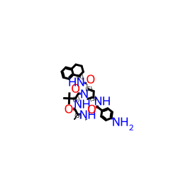 CN[C@@H](C)C(=O)N[C@H](C(=O)N1C[C@@H](NC(=O)c2ccc(N)cc2)C[C@H]1C(=O)N[C@@H]1CCCc2ccccc21)C(C)(C)C